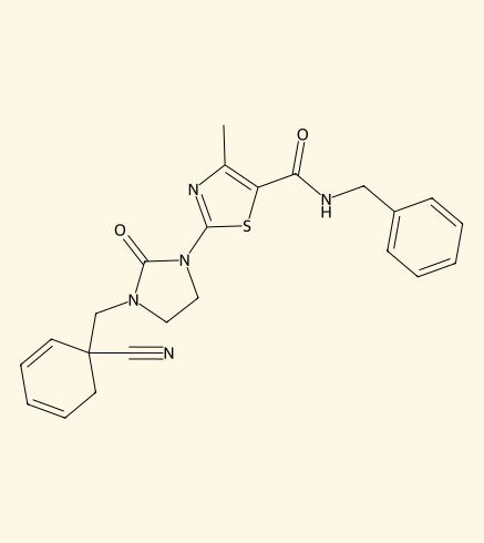 Cc1nc(N2CCN(CC3(C#N)C=CC=CC3)C2=O)sc1C(=O)NCc1ccccc1